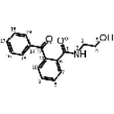 O=C(NCCO)c1ccccc1C(=O)c1ccccc1